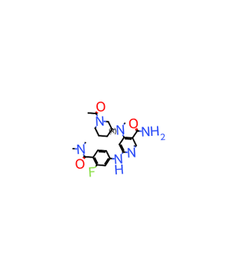 CC(=O)N1CCC[C@@H](N(C)c2cc(Nc3ccc(C(=O)N(C)C)c(F)c3)ncc2C(N)=O)C1